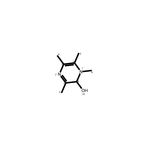 CC1=NC(C)=C(C)N(C)C1O